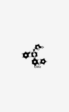 COc1ccc(N2CCN(C[C@H]3CCC(=O)O3)[C@@H](Cc3ccccc3)C2)cc1OC1CCCC1